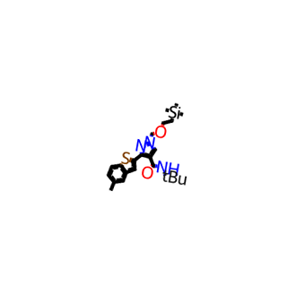 Cc1ccc2sc(-c3nn(COCC[Si](C)(C)C)cc3C(=O)NC(C)(C)C)cc2c1